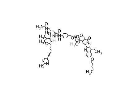 CCCCCOc1ccc2nc3c(c(CC)c2c1)Cn1c-3cc2c(c1=O)COC(=O)[C@@]2(CC)OC(=O)OCc1ccc(NC(=O)[C@H](CCCNC(N)=O)NC(=O)[C@H](NC(=O)CCCC#Cc2cnc(S)nc2)C(C)C)cc1